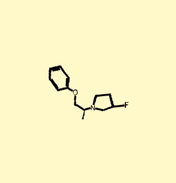 C[C@@H](COc1ccccc1)N1CCC(F)C1